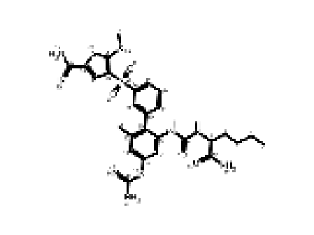 CCCCC(NC(=O)Nc1cc(NC(=N)N)cc(C)c1-c1cccc(S(=O)(=O)c2cc(C(=N)N)sc2SC)c1)C(N)=O